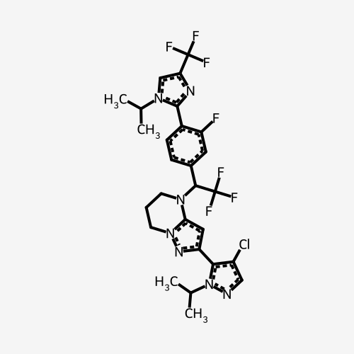 CC(C)n1cc(C(F)(F)F)nc1-c1ccc(C(N2CCCn3nc(-c4c(Cl)cnn4C(C)C)cc32)C(F)(F)F)cc1F